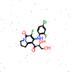 O=C(c1c(Nc2ccc(Br)cc2F)c(F)c(=O)n2c1CCC2)C(O)CO